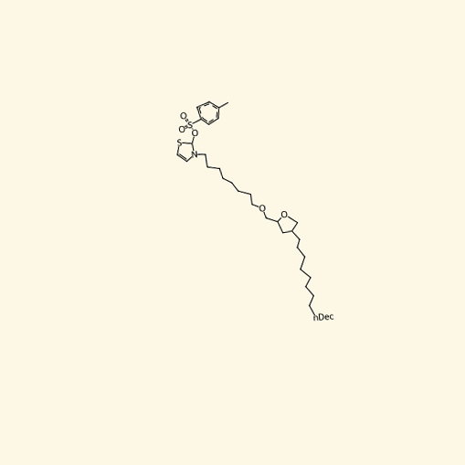 CCCCCCCCCCCCCCCCCCC1COC(COCCCCCCCCN2C=CSC2OS(=O)(=O)c2ccc(C)cc2)C1